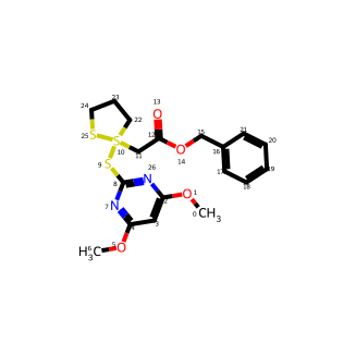 COc1cc(OC)nc(SS2(CC(=O)OCc3ccccc3)CCCS2)n1